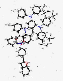 CC(C)(C)c1ccc(N(c2ccc(C(C)(C)C)cc2)c2cc3c4c(c2)N(c2ccc(C(C)(C)C)cc2-c2ccccc2)c2cc(N(c5ccccc5)c5ccc(-c6cc7ccccc7o6)cc5)ccc2B4c2cc4c(cc2N3c2ccc3c(c2)C(C)(C)CCC3(C)C)C(C)(C)CCC4(C)C)cc1